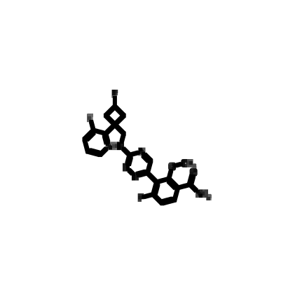 COc1c(C(N)=O)ccc(F)c1-c1cnc(NCC2(c3ncccc3F)CC(F)C2)nn1